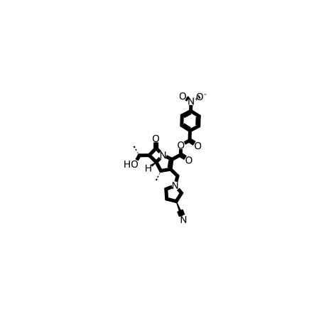 C[C@@H](O)C1C(=O)N2C(C(=O)OC(=O)c3ccc([N+](=O)[O-])cc3)=C(CN3CC[C@H](C#N)C3)[C@H](C)[C@H]12